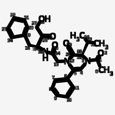 CC(=O)N1C=C(c2ccccc2)N(CC(=O)N[C@@H](Cc2ccccc2)C(=O)CO)C(=O)[C@H]1C(C)C